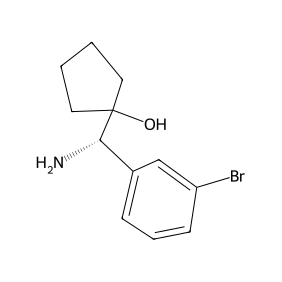 N[C@@H](c1cccc(Br)c1)C1(O)CCCC1